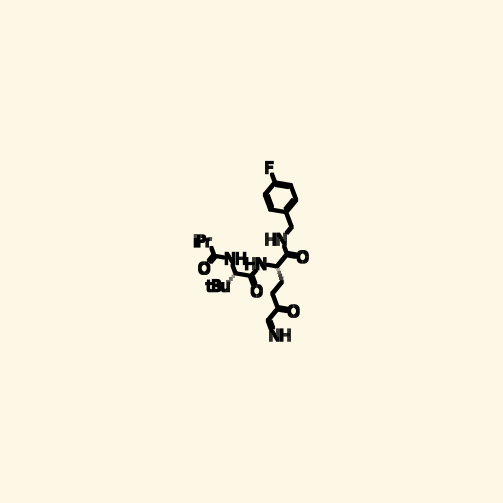 CC(C)C(=O)N[C@H](C(=O)N[C@@H](CCC(=O)C=N)C(=O)NCc1ccc(F)cc1)C(C)(C)C